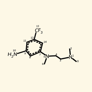 CN(C)CCN(C)c1cc(N)cc(C(F)(F)F)c1